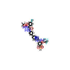 CC(C)(C)OC(=O)N[C@@H](C(=O)Nc1ccc(-c2ccc3nc(Nc4ccc(S(C)(=O)=O)cc4OCC(F)(F)F)nn3c2)cc1)c1ccc(F)cc1